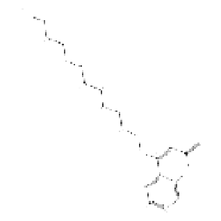 C=C1C=C(OCCCCCCCCCCCO)c2ccccc2O1